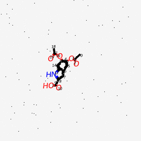 CC(=O)Oc1cc2cc(C(=O)O)[nH]c2cc1OC(C)=O